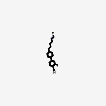 N#Cc1ccc(-c2ccc(CCCC/C=C/F)cc2)cc1F